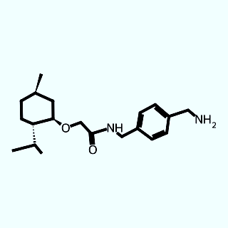 CC(C)[C@@H]1CC[C@@H](C)C[C@H]1OCC(=O)NCc1ccc(CN)cc1